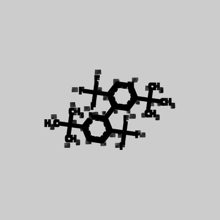 CC(C)(C)c1cc(-c2nc(C(C)(C)C)ccc2C(F)(F)F)c(C(F)(F)F)cn1